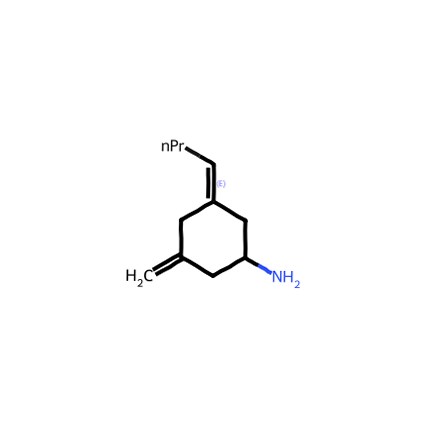 C=C1C/C(=C\CCC)CC(N)C1